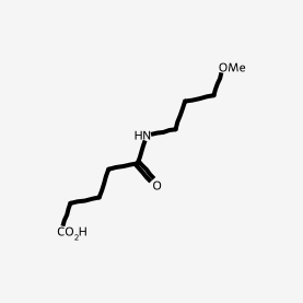 COCCCNC(=O)CCCC(=O)O